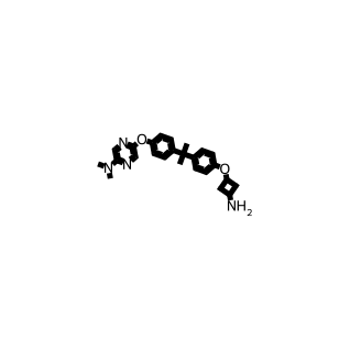 CN(C)c1cnc(Oc2ccc(C(C)(C)c3ccc(OC4CC(N)C4)cc3)cc2)cn1